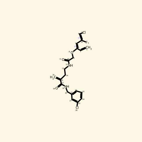 C=C/C(=C\C(F)=C\Cl)OCC(=O)NCCC(=C)C(=O)NCc1cccc(Cl)c1